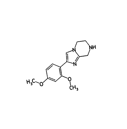 COc1ccc(-c2cn3c(n2)CNCC3)c(OC)c1